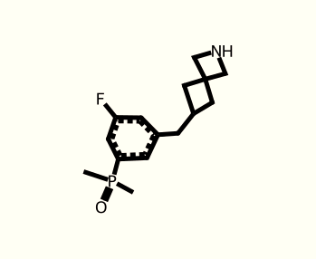 CP(C)(=O)c1cc(F)cc(CC2CC3(CNC3)C2)c1